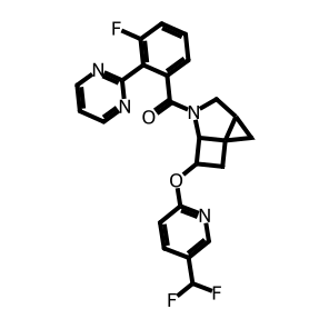 O=C(c1cccc(F)c1-c1ncccn1)N1CC2CC23CC(Oc2ccc(C(F)F)cn2)C13